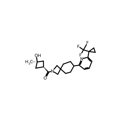 C[C@]1(O)C[C@@H](C(=O)N2CC3(CCC(c4cccc(C5(C(F)(F)F)CC5)n4)CC3)C2)C1